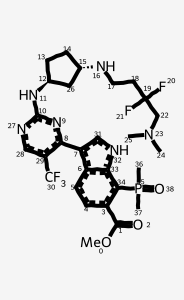 COC(=O)c1ccc2c(-c3nc(N[C@H]4CC[C@H](NCCC(F)(F)CN(C)C)C4)ncc3C(F)(F)F)c[nH]c2c1P(C)(C)=O